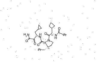 CC(C)C[C@H]1CCN(C(=O)[C@@H](NC(=O)C(C)C)C2CCC2)[C@@H]1C(=O)NC(CC1CC1)C(=O)C(N)=O